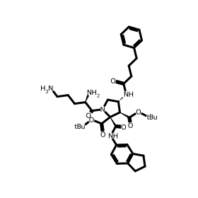 CC(C)(C)OC(=O)[C@@H]1[C@@H](NC(=O)CCCc2ccccc2)CN(C(=O)[C@H](N)CCCN)[C@@]1(C(=O)Nc1ccc2c(c1)CCC2)C(=O)OC(C)(C)C